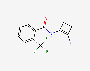 O=C(NC1=C(I)CC1)c1ccccc1C(F)(F)F